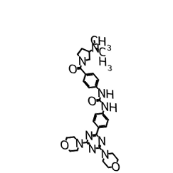 CN(C)C1CCN(C(=O)c2ccc(NC(=O)Nc3ccc(-c4nc(N5CCOCC5)nc(N5CCOCC5)n4)cc3)cc2)C1